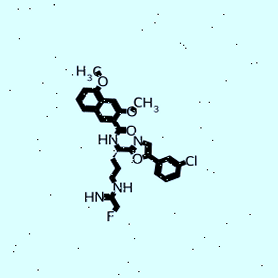 COc1cc2c(OC)cccc2cc1C(=O)N[C@@H](CCCNC(=N)CF)c1ncc(-c2cccc(Cl)c2)o1